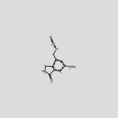 COc1cc(CN=[N+]=[N-])c2c(c1)C(=O)NC2